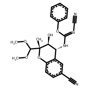 COC(OC)[C@@]1(C)Oc2ccc(C#N)cc2[C@@H](NC(=NC#N)Oc2ccccc2)[C@@H]1O